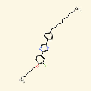 CCCCCCCCCc1ccc(-c2cnc(-c3ccc(OCCCCCC)c(F)c3)cn2)cc1